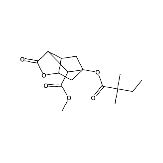 CCC(C)(C)C(=O)OC12CC3OC(=O)C(C3C1)C2C(=O)OC